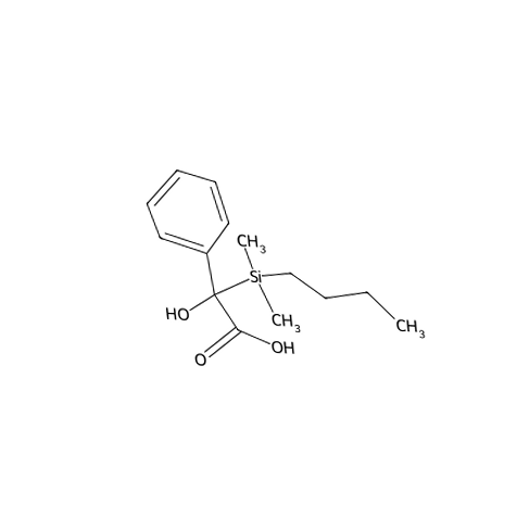 CCCC[Si](C)(C)C(O)(C(=O)O)c1ccccc1